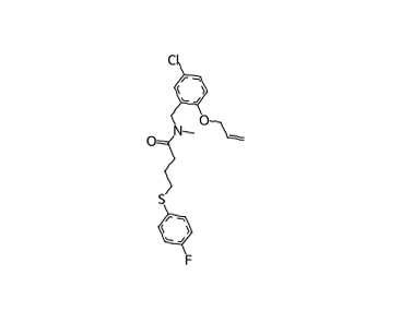 C=CCOc1ccc(Cl)cc1CN(C)C(=O)CCCSc1ccc(F)cc1